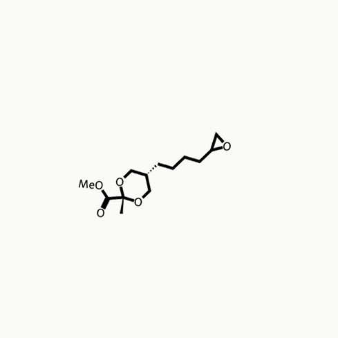 COC(=O)[C@]1(C)OC[C@H](CCCCC2CO2)CO1